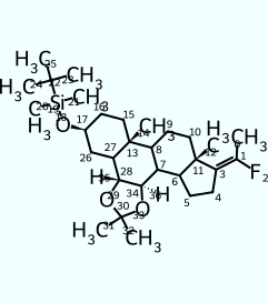 C/C(F)=C1/CCC2C3C(CC[C@]12C)[C@@]1(C)CC[C@H](O[Si](C)(C)C(C)(C)C)CC1[C@H]1OC(C)(C)O[C@H]31